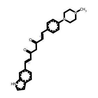 CN1CCN(c2ccc(/C=C/C(=O)CC(=O)/C=C/c3ccc4cc[nH]c4c3)cc2)CC1